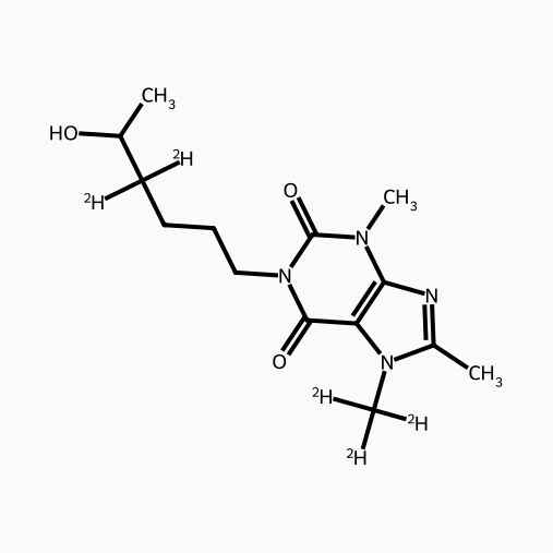 [2H]C([2H])(CCCn1c(=O)c2c(nc(C)n2C([2H])([2H])[2H])n(C)c1=O)C(C)O